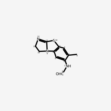 Cc1cc2c(cc1NC=O)N1CCN=C1S2